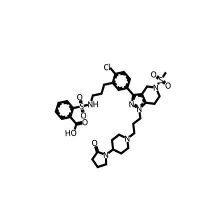 CS(=O)(=O)N1CCc2c(c(-c3ccc(Cl)c(CCCNS(=O)(=O)c4ccccc4C(=O)O)c3)nn2CCCN2CCC(N3CCCC3=O)CC2)C1